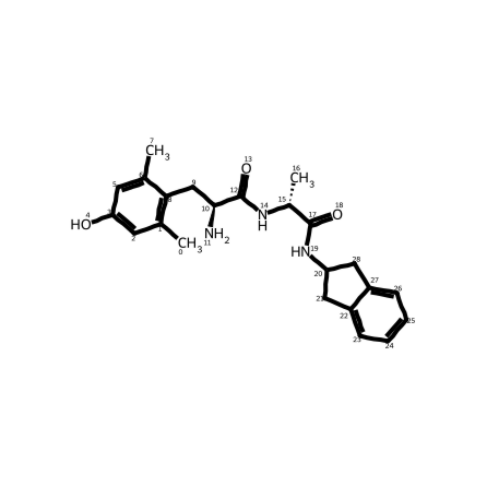 Cc1cc(O)cc(C)c1C[C@H](N)C(=O)N[C@H](C)C(=O)NC1Cc2ccccc2C1